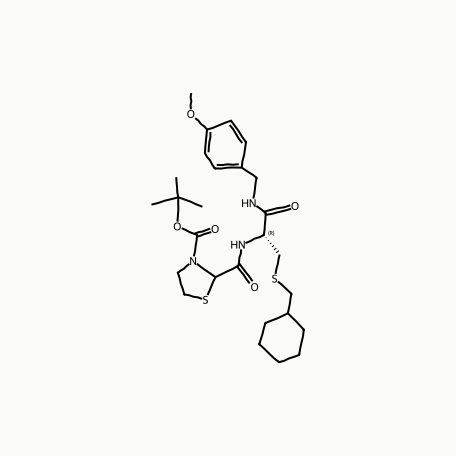 COc1ccc(CNC(=O)[C@H](CSCC2CCCCC2)NC(=O)C2SCCN2C(=O)OC(C)(C)C)cc1